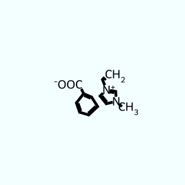 C=C[n+]1ccn(C)c1.O=C([O-])c1ccccc1